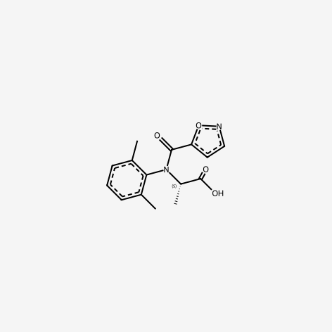 Cc1cccc(C)c1N(C(=O)c1ccno1)[C@@H](C)C(=O)O